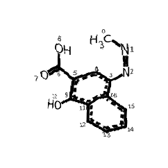 C/N=N\c1cc(C(=O)O)c(O)c2ccccc12